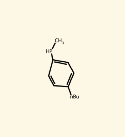 CCCCc1ccc(PC)cc1